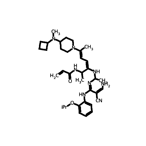 C=CC(=O)NC(C)/C(=C\C=C(/C)N1CCC(N(C)C2CCC2)CC1)NC(C)/N=C(Nc1ccccc1OC(C)C)\C(C#N)=C/N